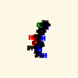 C/C(=C/N[C@H](C(=O)N1CCC[C@H]1C(=O)N[C@@H](CO)c1ccc(-c2ncccc2Cl)cc1)C(C)C)N=N